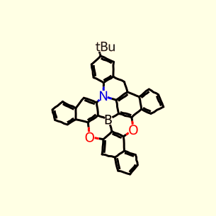 CC(C)(C)c1ccc2c(c1)Cc1c3c4c(c5ccccc15)Oc1c5c(cc6ccccc16)Oc1c(c(cc6ccccc16)N23)B54